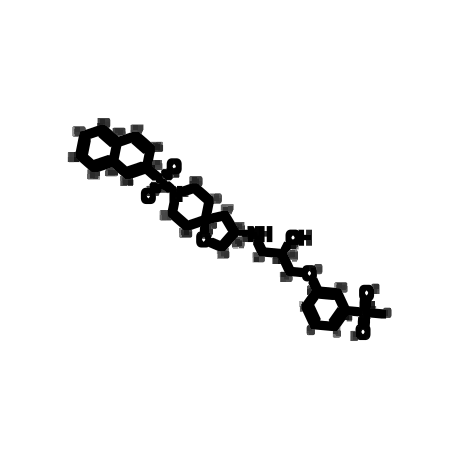 CS(=O)(=O)c1cccc(OC[C@H](O)CN[C@@H]2COC3(CCN(S(=O)(=O)c4ccc5ccccc5c4)CC3)C2)c1